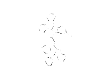 C/C(=C\C=C1/Cc2ccccc2C1(c1ccccc1)c1ccccc1)n1c2cc(Br)ccc2c2c3ccccc3c3ccccc3c21